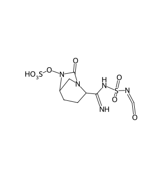 N=C(NS(=O)(=O)N=C=O)C1CCC2CN1C(=O)N2OS(=O)(=O)O